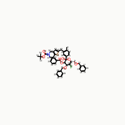 Cc1ccc(C2(O)O[C@H](COCc3ccccc3)[C@@H](F)[C@H](OCc3ccccc3)[C@H]2OCc2ccccc2)cc1Cc1cc2c(s1)CCN(C(=O)OC(C)(C)C)C2